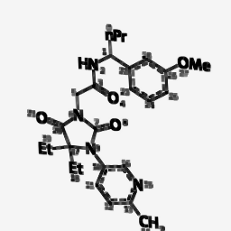 CCCC(NC(=O)CN1C(=O)N(c2ccc(C)nc2)C(CC)(CC)C1=O)c1cccc(OC)c1